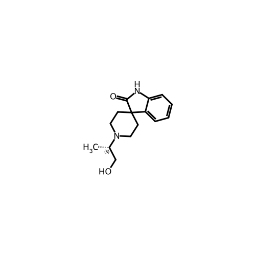 C[C@@H](CO)N1CCC2(CC1)C(=O)Nc1ccccc12